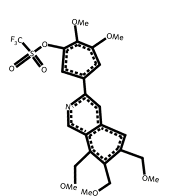 COCc1cc2cc(-c3cc(OC)c(OC)c(OS(=O)(=O)C(F)(F)F)c3)ncc2c(COC)c1COC